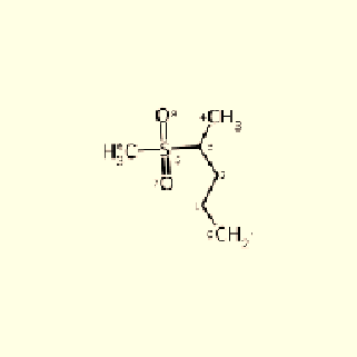 [CH2]CCC(C)S(C)(=O)=O